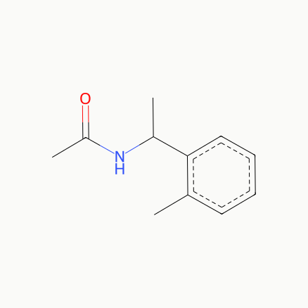 CC(=O)NC(C)c1ccccc1C